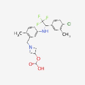 Cc1cc([C@H](Nc2ccc(C)c(CN3CC(OC(=O)O)C3)c2)C(F)(F)F)ccc1Cl